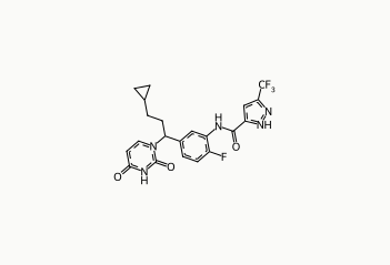 O=C(Nc1cc(C(CCC2CC2)n2ccc(=O)[nH]c2=O)ccc1F)c1cc(C(F)(F)F)n[nH]1